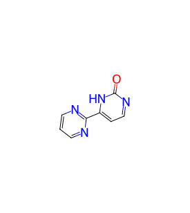 O=c1nccc(-c2ncccn2)[nH]1